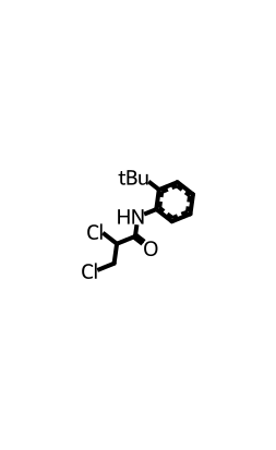 CC(C)(C)c1ccccc1NC(=O)C(Cl)CCl